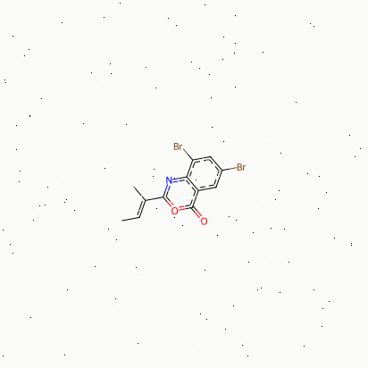 CC=C(C)c1nc2c(Br)cc(Br)cc2c(=O)o1